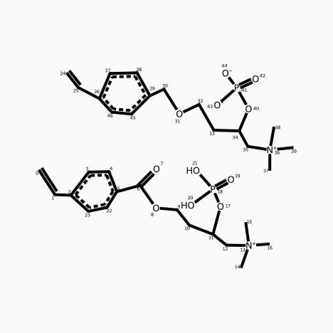 C=Cc1ccc(C(=O)OCCC(C[N+](C)(C)C)OP(=O)(O)O)cc1.C=Cc1ccc(COCCC(C[N+](C)(C)C)OP(=O)([O-])[O-])cc1